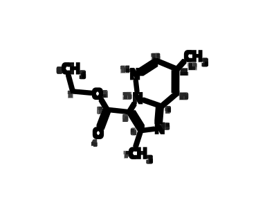 CCOC(=O)c1c(C)nc2cc(C)cnn12